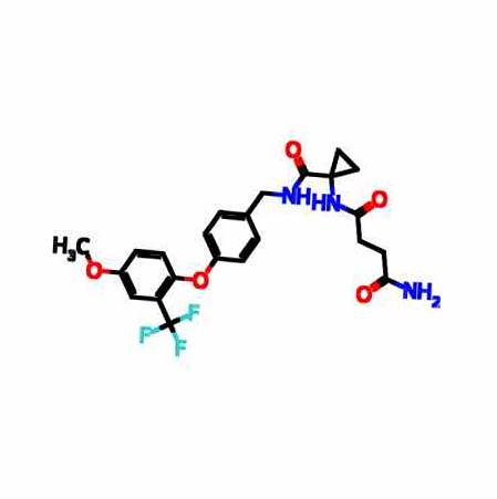 COc1ccc(Oc2ccc(CNC(=O)C3(NC(=O)CCC(N)=O)CC3)cc2)c(C(F)(F)F)c1